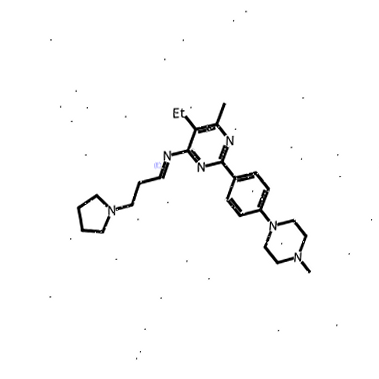 CCc1c(C)nc(-c2ccc(N3CCN(C)CC3)cc2)nc1/N=C/CCN1CCCC1